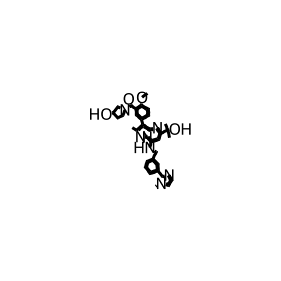 COc1ccc(-c2c(C)nn3c(NCc4cccc(-c5nccn5C)c4)cc(C(C)(C)O)nc23)cc1C(=O)N1CCC(O)C1